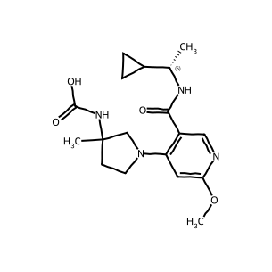 COc1cc(N2CCC(C)(NC(=O)O)C2)c(C(=O)N[C@@H](C)C2CC2)cn1